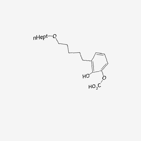 CCCCCCCOCCCCCc1cccc(OC(=O)O)c1O